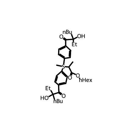 CCCCCCOC(=O)C(C)S(C)(c1ccc(C(=O)C(O)(CC)CCCC)cc1)c1ccc(C(=O)C(O)(CC)CCCC)cc1